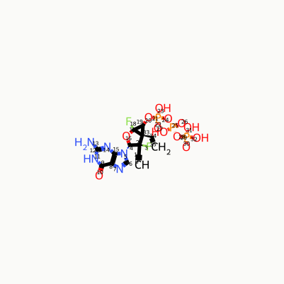 C#C[C@]1(F)[C@H](n2cnc3c(=O)[nH]c(N)nc32)O[C@]2(F)C(OP(=O)(O)OP(=O)(O)OP(=O)(O)O)[C@@]21C=C